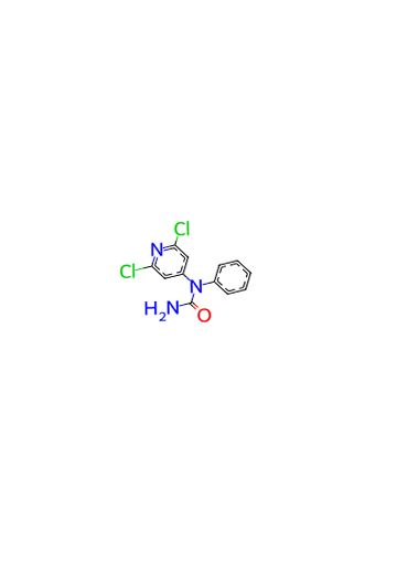 NC(=O)N(c1ccccc1)c1cc(Cl)nc(Cl)c1